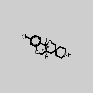 Clc1ccc2c(c1)OC[C@@H]1CC3(CCNCC3)CO[C@@H]21